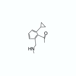 CNCc1cccc(C2CC2)c1C(C)=O